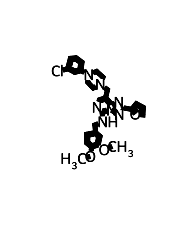 COc1ccc(CNc2ncc(CN3CCN(c4cccc(Cl)c4)CC3)c3nc(-c4ccco4)nn23)cc1OC